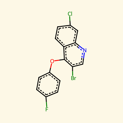 Fc1ccc(Oc2c(Br)cnc3cc(Cl)ccc23)cc1